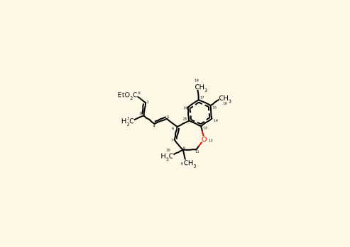 CCOC(=O)C=C(C)C=CC1=CC(C)(C)COc2cc(C)c(C)cc21